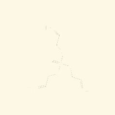 C=CCOP(=S)(OCC=C)OCC=C